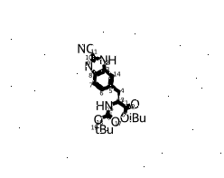 CC(C)COC(=O)[C@H](Cc1ccc2nc(C#N)[nH]c2c1)NC(=O)OC(C)(C)C